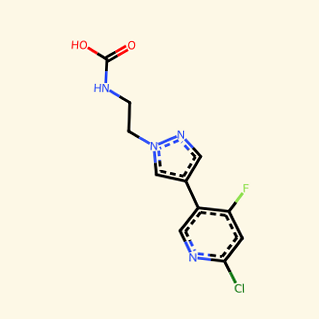 O=C(O)NCCn1cc(-c2cnc(Cl)cc2F)cn1